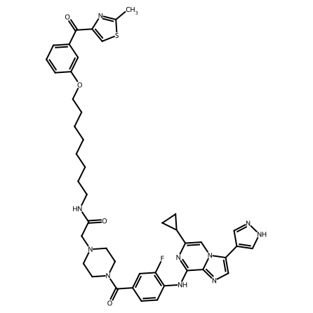 Cc1nc(C(=O)c2cccc(OCCCCCCCCNC(=O)CN3CCN(C(=O)c4ccc(Nc5nc(C6CC6)cn6c(-c7cn[nH]c7)cnc56)c(F)c4)CC3)c2)cs1